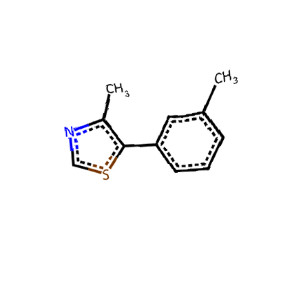 Cc1cccc(-c2scnc2C)c1